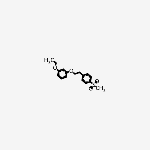 CCOc1[c]c(OCCc2ccc(S(C)(=O)=O)cc2)ccc1